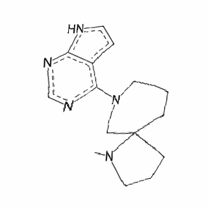 CN1CCCC12CCCN(c1ncnc3[nH]ccc13)C2